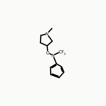 CN1CCC(ON(c2ccccc2)C(F)(F)F)C1